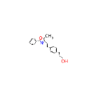 Cc1oc(-c2ccccc2)nc1C=Cc1ccc(C=CCO)cc1